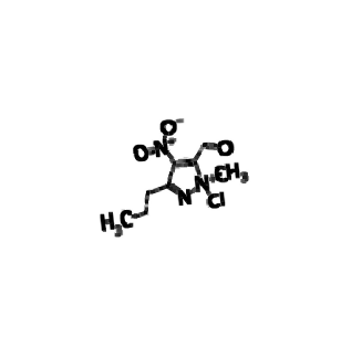 CCCC1=N[N+](C)(Cl)C(C=O)=C1[N+](=O)[O-]